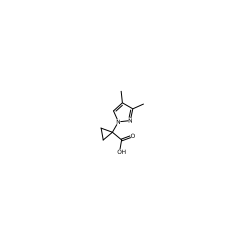 Cc1cn(C2(C(=O)O)CC2)nc1C